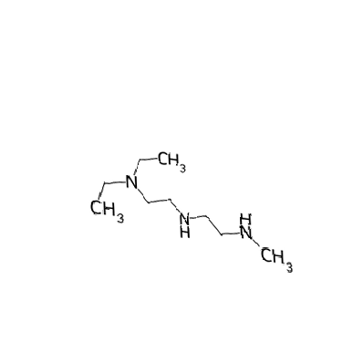 CCN(CC)CCNCCNC